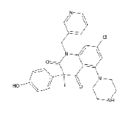 CC1(c2ccc(O)cc2)C(=O)c2c(N3CCNCC3)cc(Cl)cc2N(Cc2cccnc2)C1=O